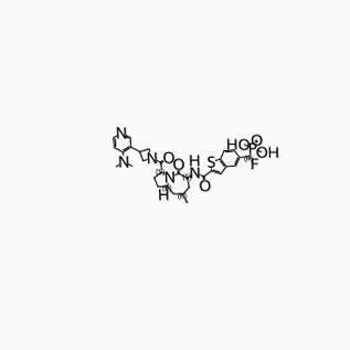 C[C@H]1C[C@H]2CC[C@@H](C(=O)N3CC(c4cnccc4N(C)C)C3)N2C(=O)[C@@H](NC(=O)c2cc3cc([C@H](F)P(=O)(O)O)ccc3s2)C1